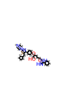 CN1CCN(c2nc(-c3ccc(OC(CO)CCCONC(=N)c4ccccc4)cc3)c(CC3CCCC3)s2)CC1